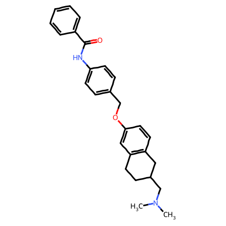 CN(C)CC1CCc2cc(OCc3ccc(NC(=O)c4ccccc4)cc3)ccc2C1